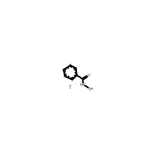 O=C(NO)c1ccccc1.[V]